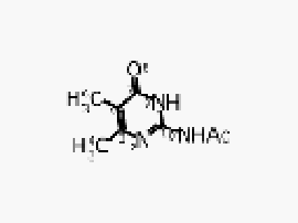 CC(=O)Nc1nc(C)c(C)c(=O)[nH]1